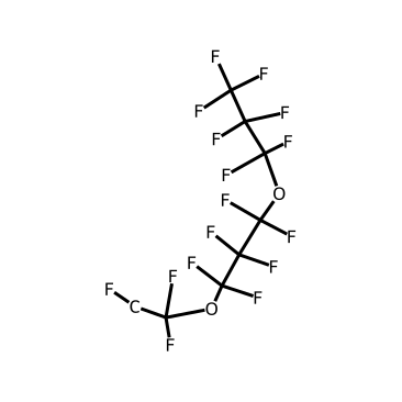 FCC(F)(F)OC(F)(F)C(F)(F)C(F)(F)OC(F)(F)C(F)(F)C(F)(F)F